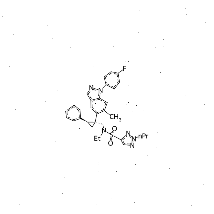 CCCn1ncc(S(=O)(=O)N(CC)C[C@]2(c3cc4cnn(-c5ccc(F)cc5)c4cc3C)C[C@H]2c2ccccc2)n1